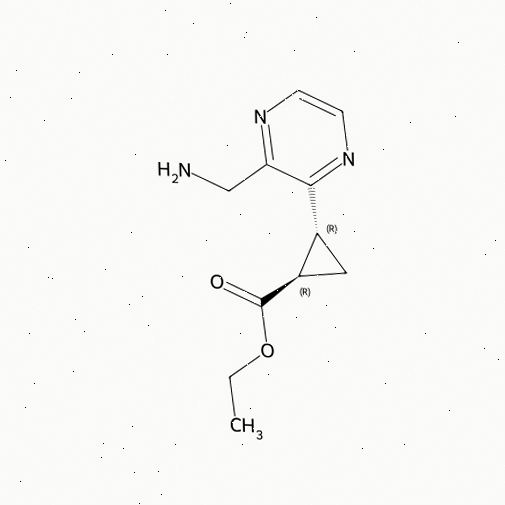 CCOC(=O)[C@@H]1C[C@H]1c1nccnc1CN